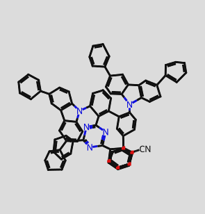 N#Cc1ccccc1-c1ccc(-n2c3ccc(-c4ccccc4)cc3c3cc(-c4ccccc4)ccc32)c(-c2cccc(-n3c4ccc(-c5ccccc5)cc4c4cc(-c5ccccc5)ccc43)c2-c2nc(-c3ccccc3)nc(-c3ccccc3)n2)c1